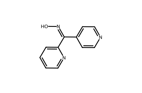 O/N=C(/c1ccncc1)c1ccccn1